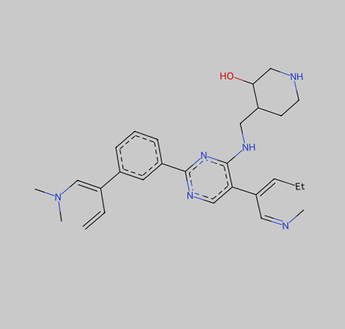 C=C/C(=C\N(C)C)c1cccc(-c2ncc(C(/C=N\C)=C/CC)c(NCC3CCNCC3O)n2)c1